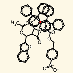 CC(=O)OC(c1cc2ccccc2o1)C1C(=O)N(C(C(=O)OCc2ccc([N+](=O)[O-])cc2)=P(c2ccccc2)(c2ccccc2)c2ccccc2)C1SC(c1ccccc1)(c1ccccc1)c1ccccc1